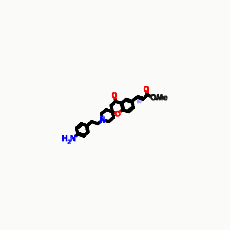 COC(=O)/C=C/c1ccc2c(c1)C(=O)CC1(CCN(CCc3ccc(N)cc3)CC1)O2